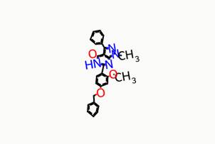 COc1cc(OCc2ccccc2)ccc1-c1nc2c(c(-c3ccccc3)nn2C)c(=O)[nH]1